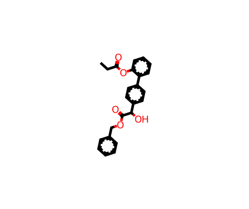 CCC(=O)Oc1ccccc1-c1ccc(C(O)C(=O)OCc2ccccc2)cc1